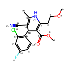 COCCC1=C(C(=O)OC)C(c2ccc(F)cc2Cl)C(C#N)=C(C)N1